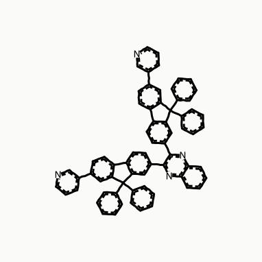 c1ccc(C2(c3ccccc3)c3cc(-c4cccnc4)ccc3-c3ccc(-c4nc5ccccc5nc4-c4ccc5c(c4)C(c4ccccc4)(c4ccccc4)c4cc(-c6cccnc6)ccc4-5)cc32)cc1